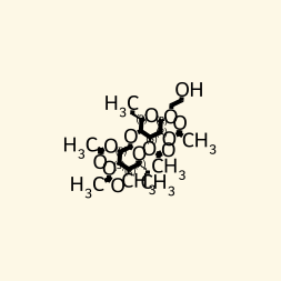 CC[C@H]1O[C@@H](OCCO)[C@H](OC(C)=O)[C@@H](OC(C)=O)C1OC1O[C@H](CC)[C@@H](C)[C@H](OC(C)=O)[C@H]1OC(C)=O